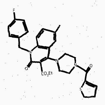 CCOC(=O)c1c(N2CCN(C(=O)C3=CCCS3)CC2)c2cc(C)ccc2n(Cc2ccc(F)cc2)c1=O